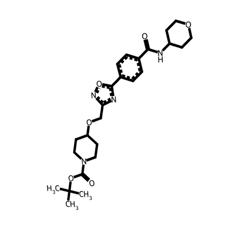 CC(C)(C)OC(=O)N1CCC(OCc2noc(-c3ccc(C(=O)NC4CCOCC4)cc3)n2)CC1